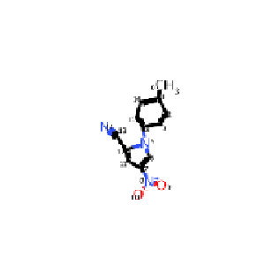 Cc1ccc(-n2cc([N+](=O)[O-])cc2C#N)cc1